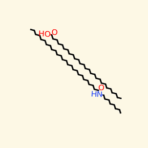 CCCCCCCCCCCCCCCCCCCCCCCCCC(=O)NCCCCCCCC.CCCCCCCCCCCCCCCCCCCCCCCCCCC(=O)O